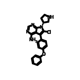 Nc1ncnc2c1c(-c1ccc(Oc3ccccc3)cc1)c(Cl)n2[C@@H]1CCNC1